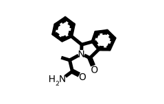 CC(C(N)=O)N1C(=O)c2ccccc2C1c1ccccc1